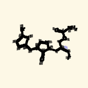 NC(=O)OC/C(=C/F)Cn1ncn(Cc2ccc(Br)s2)c1=O